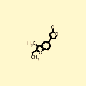 C[CH]c1oc2ccc(C3=CC(=O)OC3)cc2c1C